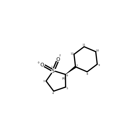 O=S1(=O)CCC[C@@H]1C1CCCCC1